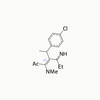 CCC(=N)/C(=C(\NC)C(C)=O)C(C)c1ccc(Cl)cc1